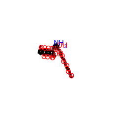 COCCOCCOCCOCCOCCOC[C@@H]1O[C@@H](O[C@H]2C[C@](O)(C(C)=O)Cc3c(O)c4c(c(O)c32)C(=O)c2c(OC)cccc2C4=O)C[C@H](N)[C@@H]1O